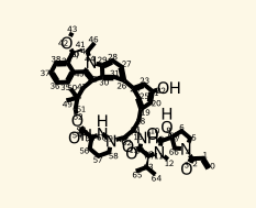 C=CC(=O)N1CC[C@](O)(C(=O)N(C)[C@H](C(=O)N[C@H]2Cc3cc(O)cc(c3)-c3ccc4c(c3)c(c(-c3ccccc3[C@H](C)OC)n4CC)CC(C)(C)COC(=O)[C@@H]3CCCN(N3)C2=O)C(C)C)C1